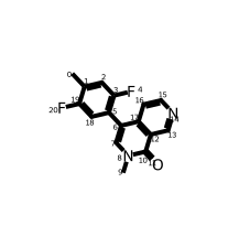 Cc1cc(F)c(-c2cn(C)c(=O)c3cnccc23)cc1F